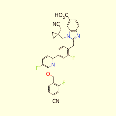 N#CCC1(Cn2c(Cc3ccc(-c4ccc(F)c(OCc5ccc(C#N)cc5F)n4)cc3F)nc3ccc(C(=O)O)cc32)CC1